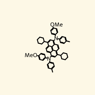 COc1ccc(N(c2ccc(C)cc2)c2cc(C3CCCCC3)c3ccc4c(N(c5ccc(C)cc5)c5ccc(OC)cc5)cc(C5CCCCC5)c5ccc2c3c54)cc1